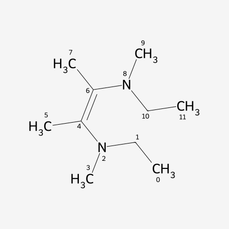 CCN(C)/C(C)=C(/C)N(C)CC